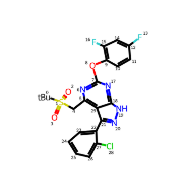 CC(C)(C)S(=O)(=O)Cc1nc(Oc2ccc(F)cc2F)nc2[nH]nc(-c3ccccc3Cl)c12